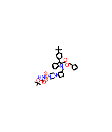 CC(C)(C)OC(=O)NS(=O)(=O)N1CCN(c2cccc(Cn3c(C(=O)OCc4ccccc4)c(-c4ccc(C(C)(C)C)cc4)c4ccccc43)c2)CC1